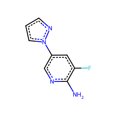 Nc1ncc(-n2cccn2)cc1F